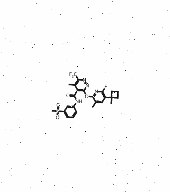 Cc1cc(C2(C)CCC2)c(F)nc1Oc1nnc(C(F)(F)F)c(C)c1C(=O)Nc1cccc(S(C)(=O)=O)c1